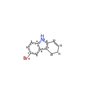 Brc1ccc2[nH]c3c(c2c1)CCC=C3